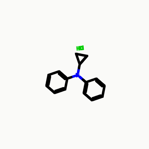 Cl.c1ccc(N(c2ccccc2)C2CC2)cc1